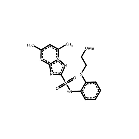 COCCSc1ccccc1NS(=O)(=O)c1nc2nc(C)cc(C)n2n1